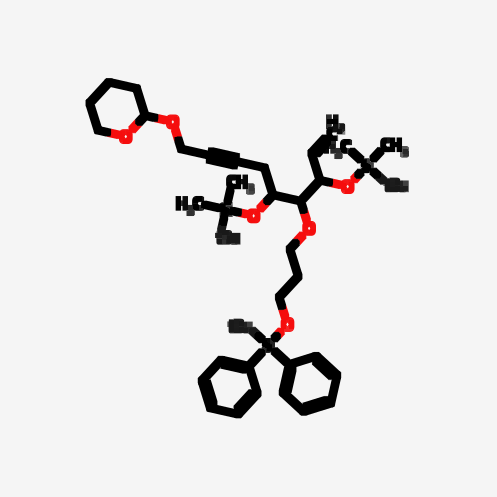 C=CC(O[Si](C)(C)C(C)(C)C)C(OCCCO[Si](c1ccccc1)(c1ccccc1)C(C)(C)C)C(CC#CCOC1CCCCO1)O[Si](C)(C)C(C)(C)C